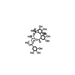 O=C(O[C@H](CO)[C@@H](O)[C@@H]1OC(=O)c2cc(O)c(O)c(O)c2-c2c(O)c(O)c(O)c3c2C(=O)O[C@H]1[C@H]3O)c1cc(O)c(O)c(O)c1